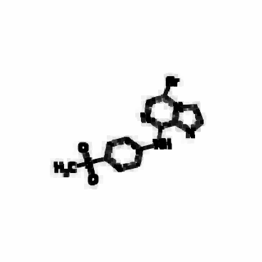 CS(=O)(=O)c1ccc(Nc2ncc(Br)n3ccnc23)cc1